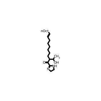 CCCCCCCCC=CCCCCCCC(C(=O)C1=NCCN1)C(C)O